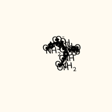 CS(=O)(=O)N1CCN(C(=O)N[C@@H](C(=O)N[C@@H]2C(=O)N3C(C(=O)[O-])=C(C[n+]4ccc(C(N)=O)cc4)CS[C@@H]23)c2ccc(NC(=O)OC[C@@H](N)C(=O)O)cc2)C1=O